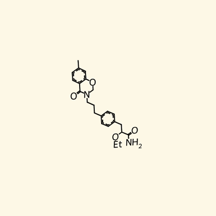 CCOC(Cc1ccc(CCCN2COc3cc(C)ccc3C2=O)cc1)C(N)=O